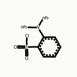 CCCN(CCC)c1ccccc1S(=O)(=O)Cl